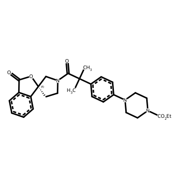 CCOC(=O)N1CCN(c2ccc(C(C)(C)C(=O)N3CC[C@@]4(C3)OC(=O)c3ccccc34)cc2)CC1